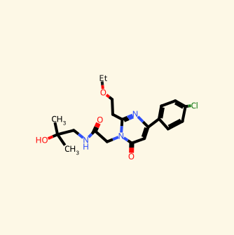 CCOCCc1nc(-c2ccc(Cl)cc2)cc(=O)n1CC(=O)NCC(C)(C)O